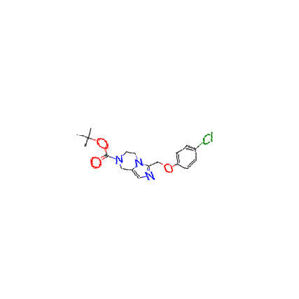 CC(C)(C)OC(=O)N1CCn2c(cnc2COc2ccc(Cl)cc2)C1